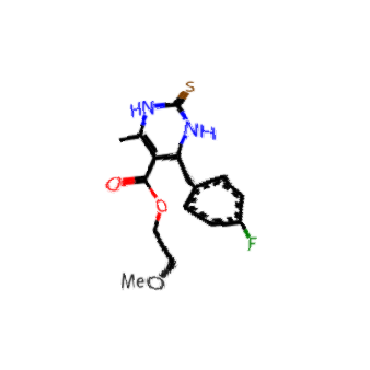 COCCOC(=O)C1=C(C)NC(=S)NC1c1ccc(F)cc1